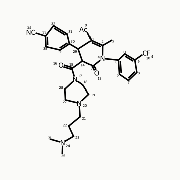 CC(=O)C1=C(C)N(c2cccc(C(F)(F)F)c2)C(=O)C(C(=O)N2CCN(CCCN(C)C)CC2)C1c1ccc(C#N)cc1